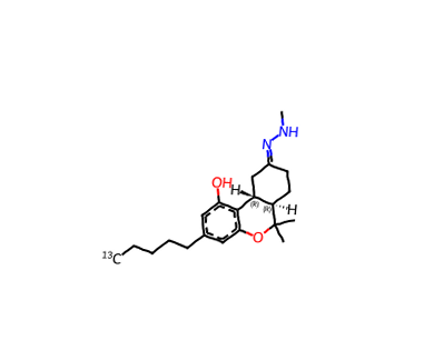 CNN=C1CC[C@@H]2[C@@H](C1)c1c(O)cc(CCCC[13CH3])cc1OC2(C)C